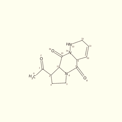 CC(=O)C1CCN2C(=O)C3C=CCNN3C(=O)C12